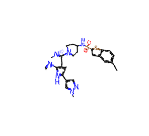 C=Nc1[nH]c(-c2cnn(C)c2)cc1/C(=N\C)N1CCC(NS(=O)(=O)c2cc3cc(C)ccc3s2)CC1